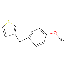 CCC(C)Oc1ccc(Cc2ccsc2)cc1